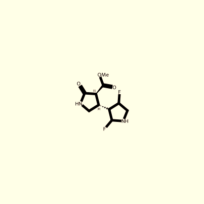 COC(=O)[C@@H]1C(=O)NC[C@H]1C1C(F)CNC1F